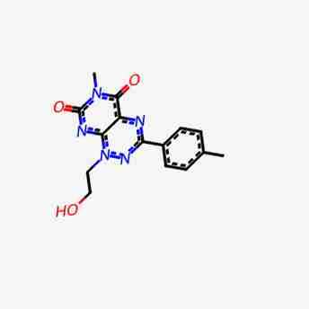 Cc1ccc(-c2nc3c(=O)n(C)c(=O)nc-3n(CCO)n2)cc1